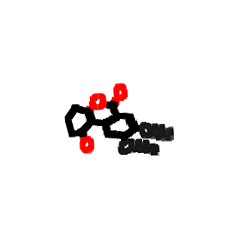 COc1cc2c3c(oc(=O)c2cc1OC)CCCC3=O